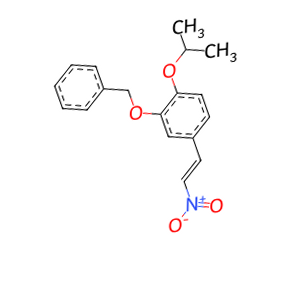 CC(C)Oc1ccc(C=C[N+](=O)[O-])cc1OCc1ccccc1